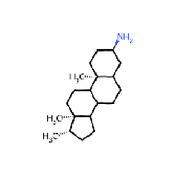 C[C@H]1CCC2C3CCC4C[C@H](N)CC[C@]4(C)C3CC[C@@]21C